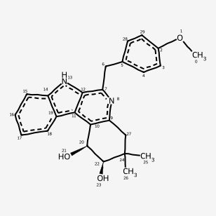 COc1ccc(Cc2nc3c(c4c2[nH]c2ccccc24)[C@H](O)[C@H](O)C(C)(C)C3)cc1